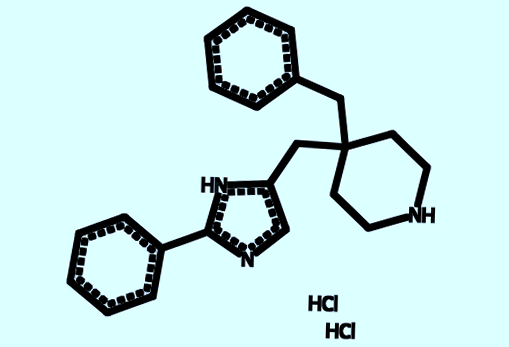 Cl.Cl.c1ccc(CC2(Cc3cnc(-c4ccccc4)[nH]3)CCNCC2)cc1